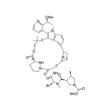 COC(=O)N1C[C@H](C)[C@H](C(=O)N(C)[C@H](C(=O)N[C@H]2CC3=NC(CS3)c3ccc4c(c3)c(c(-c3cccnc3[C@H](C)OC)n4C)CC(C)(C)COC(=O)[C@@H]3CCCN(N3)C2=O)C(C)C)C1